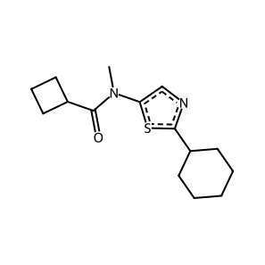 CN(C(=O)C1CCC1)c1cnc(C2CCCCC2)s1